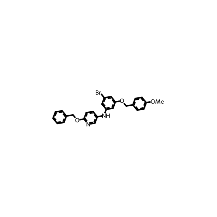 COc1ccc(COc2cc(Br)cc(Nc3ccc(OCc4ccccc4)nc3)c2)cc1